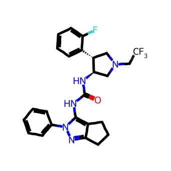 O=C(Nc1c2c(nn1-c1ccccc1)CCC2)N[C@@H]1CN(CC(F)(F)F)C[C@H]1c1ccccc1F